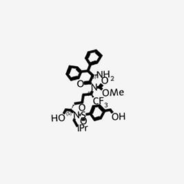 COC(=O)N(C(=O)[C@@H](N)C(c1ccccc1)c1ccccc1)[C@H](CCC[C@@H](CO)N(CC(C)C)S(=O)(=O)c1ccc(CO)cc1)C(F)(F)F